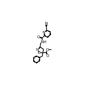 COC(=O)C1(Cc2ccccc2)CC(CNC(=O)c2cccc(C#N)n2)=NO1